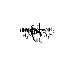 NCCCC[C@H](NC(=O)CNC(=O)[C@H](Cc1c[nH]cn1)NC(=O)[C@@H](N)CCCCN)C(=O)NCC(=O)O